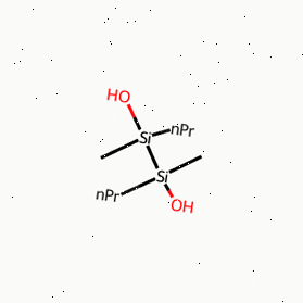 CCC[Si](C)(O)[Si](C)(O)CCC